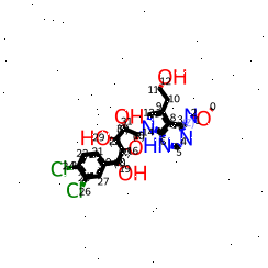 CO/N=c1\nc[nH]c2c1c(CCO)cn2[C@@H]1O[C@H]([C@H](O)c2ccc(Cl)c(Cl)c2)[C@@H](O)[C@H]1O